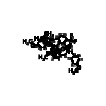 COc1ccc(CN(Cc2ccc(OC)cc2)S(=O)(=O)c2c(C(F)(F)F)ccc(C#C[Si](C)(C)C)c2-c2nnnn2Cc2ccc(OC)cc2)cc1